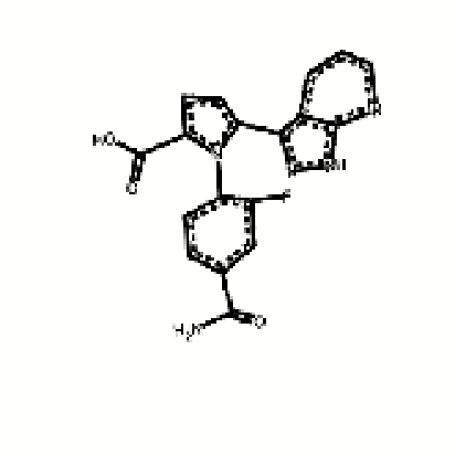 NC(=O)c1ccc(-n2c(C(=O)O)ccc2-c2n[nH]c3ncccc23)c(F)c1